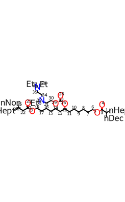 CCCCCCCCCCC(CCCCCCC)C(=O)OCCCCCCC(CCCCCCOC(=O)CC(CCCCCCC)CCCCCCCCC)OC(=O)OCCN(CC)CCN(CC)CC